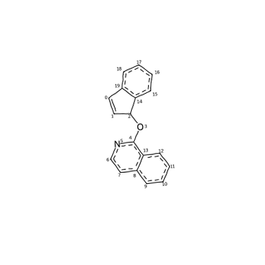 C1=CC(Oc2nccc3ccccc23)c2ccccc21